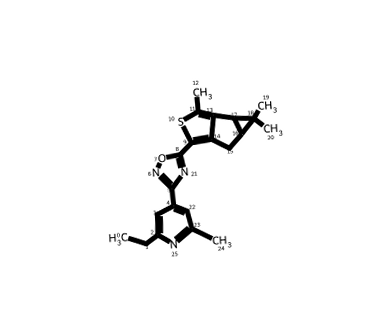 CCc1cc(-c2noc(-c3sc(C)c4c3CC3C4C3(C)C)n2)cc(C)n1